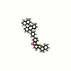 c1ccc2c(-c3c4ccccc4c(-c4ccc(-c5ccc6c(c5)oc5ccc7c8ccc9ccccc9c8sc7c56)cc4)c4ccccc34)cccc2c1